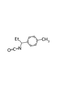 CCC(N=C=O)c1ccc(C)cc1